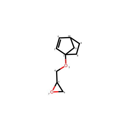 C1=CC2(OCC3CO3)CCC1C2